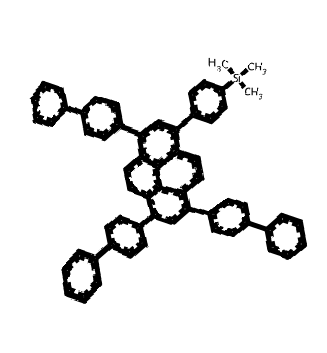 C[Si](C)(C)c1ccc(-c2cc(-c3ccc(-c4ccccc4)cc3)c3ccc4c(-c5ccc(-c6ccccc6)cc5)cc(-c5ccc(-c6ccccc6)cc5)c5ccc2c3c45)cc1